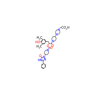 Cc1cc(CC(OC(=O)N2CCC(n3nc(-c4ccccc4)[nH]c3=O)CC2)C(=O)N2CCC(N3CCN(CC(=O)O)CC3)CC2)cc(C)c1O